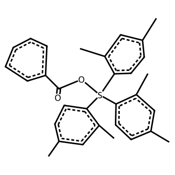 Cc1ccc(S(OC(=O)c2ccccc2)(c2ccc(C)cc2C)c2ccc(C)cc2C)c(C)c1